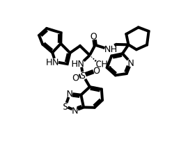 C[C@@](Cc1c[nH]c2ccccc12)(NS(=O)(=O)c1cccc2nsnc12)C(=O)NCC1(c2ccccn2)CCCCC1